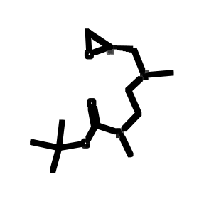 CN(CCN(C)C(=O)OC(C)(C)C)C[C@H]1CO1